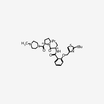 CC(C)C[C@@H](NC(=O)c1ccccc1OCc1csc(C(C)(C)C)n1)C(=O)N1CCC[C@@H]1C(=O)N1CCN(C)CC1